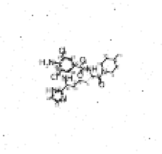 CC1CCN(C(=O)[C@H](CCCC(N)c2ncc[nH]2)NS(=O)(=O)c2cc(Cl)c(N)c(Cl)c2)CC1